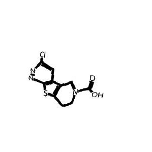 O=C(O)N1CCc2sc3nnc(Cl)cc3c2C1